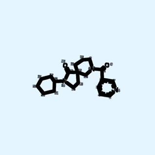 O=C(c1cccnc1)N1CCCC2(CCN(C3CCCCC3)C2=O)C1